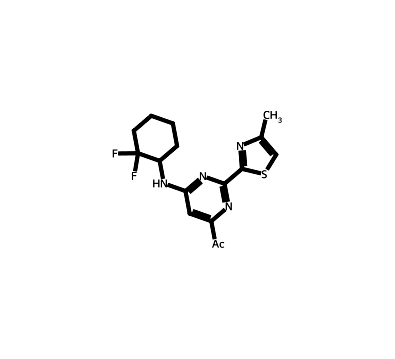 CC(=O)c1cc(NC2CCCCC2(F)F)nc(-c2nc(C)cs2)n1